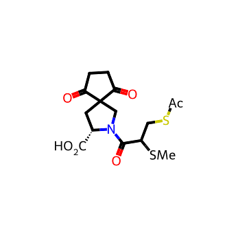 CSC(CSC(C)=O)C(=O)N1CC2(C[C@H]1C(=O)O)C(=O)CCC2=O